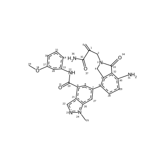 C=C(CN1Cc2c(-c3cc(C(=O)Nc4cccc(OC)c4)c4cnn(C)c4c3)ccc(N)c2C1=O)C(N)=O